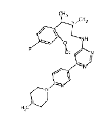 CCOc1cc(F)ccc1C(C)[C@H](C)CNc1cc(-c2ccc(N3CCN(C)CC3)nc2)ncn1